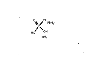 O=P(O)(O)O.[InH3].[PbH2]